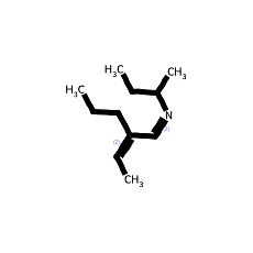 C/C=C(\C=N/C(C)CC)CCC